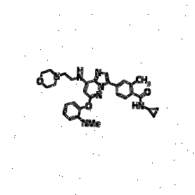 CNc1ccccc1Oc1cc(NCCN2CCOCC2)c2ncc(-c3ccc(C(=O)NC4CC4)c(C)c3)n2n1